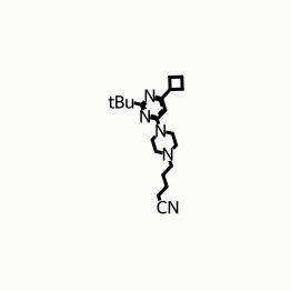 CC(C)(C)c1nc(C2CCC2)cc(N2CCN(CCCCC#N)CC2)n1